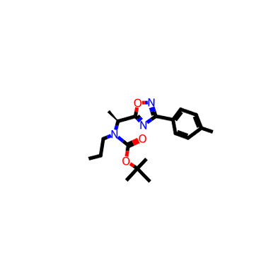 CCCN(C(=O)OC(C)(C)C)[C@@H](C)c1nc(-c2ccc(C)cc2)no1